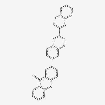 O=c1c2ccccc2sc2ccc(-c3ccc4cc(-c5ccc6ccccc6c5)ccc4c3)cc12